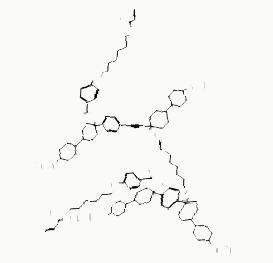 C=CC(=O)OCCCCCCOc1ccc(C(=O)OC2(c3ccc(C#CC4(OCCCCCCCCOC5(c6ccc(C7(OC(=O)c8ccc(OCCCCCCOC(=O)C=C)cc8)CCC(C8CCC(CCC)CC8)CC7)cc6)CCC(C6CCC(CCC)CC6)CC5)CCC(C5CCC(CCC)CC5)CC4)cc3)CCC(C3CCC(CCC)CC3)CC2)cc1